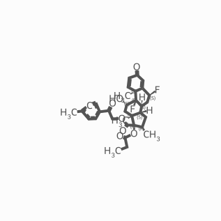 CCC(=O)O[C@]1(C(=O)OCC(=O)c2ccc(C)cc2)[C@H](C)C[C@H]2[C@@H]3C[C@H](F)C4=CC(=O)C=C[C@]4(C)[C@@]3(F)[C@@H](O)C[C@@]21C